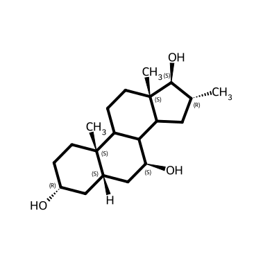 C[C@@H]1CC2C3C(CC[C@]2(C)[C@H]1O)[C@@]1(C)CC[C@@H](O)C[C@H]1C[C@@H]3O